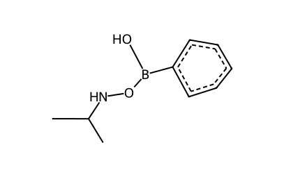 CC(C)NOB(O)c1ccccc1